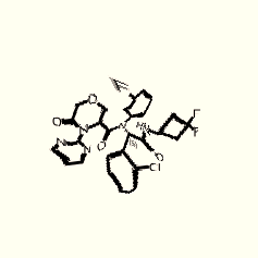 O=C(NC1CC(F)(F)C1)[C@H](c1ccccc1Cl)N(C(=O)C1COCC(=O)N1c1ncccn1)c1cccc(F)c1